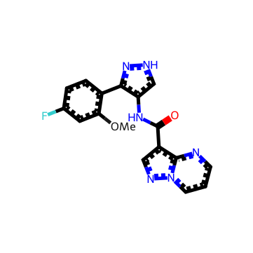 COc1cc(F)ccc1-c1n[nH]cc1NC(=O)c1cnn2cccnc12